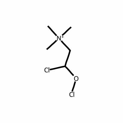 C[N+](C)(C)CC(Cl)OCl